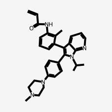 C=CC(=O)Nc1cccc(-c2c(-c3ccc(N4CCN(C)CC4)cc3)n(C(C)C)c3ncccc23)c1C